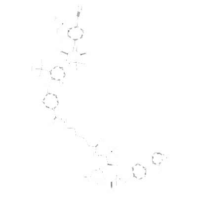 Cc1ncsc1-c1ccc(CNC(=O)[C@@H]2C[C@@H](O)CN2C(=O)[C@@H](NC(=O)COCCCNC(=O)c2ccc(Oc3ncc(N4C(=S)N(c5ccc(C#N)c(C(F)(F)F)c5F)C(=O)C4(C)C)cc3C(F)(F)F)cc2)C(C)(C)C)cc1